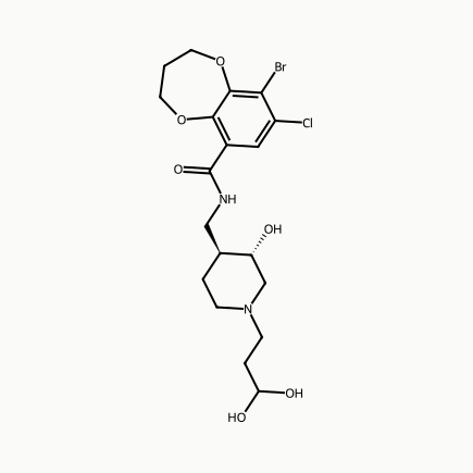 O=C(NC[C@@H]1CCN(CCC(O)O)C[C@H]1O)c1cc(Cl)c(Br)c2c1OCCCO2